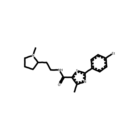 CCc1ccc(-c2nc(C)c(C(=O)NCCC3CCCN3C)s2)cc1